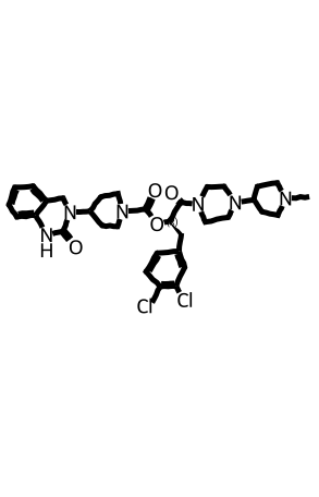 CN1CCC(N2CCN(C(=O)[C@@H](Cc3ccc(Cl)c(Cl)c3)OC(=O)N3CCC(N4Cc5ccccc5NC4=O)CC3)CC2)CC1